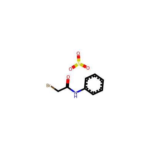 O=C(CBr)Nc1ccccc1.O=S(=O)=O